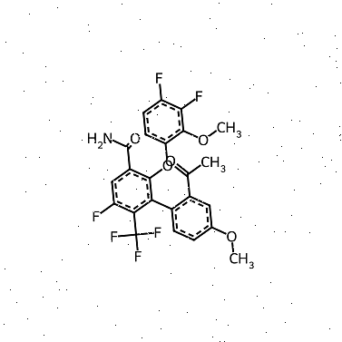 COc1ccc(-c2c(Oc3ccc(F)c(F)c3OC)c(C(N)=O)cc(F)c2C(F)(F)F)c(C(C)=O)c1